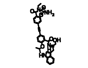 CCN(C(=O)c1ccc(C#Cc2ccc(OC(C)C)c(C(=O)N[C@@H](CO)Cc3c[nH]c4ccccc34)c2)cc1)S(N)(=O)=O